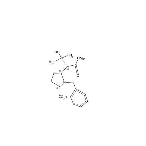 COC(=O)[C@H]([C@H]1CC[C@@H](C(=O)O)N1Cc1ccccc1)C(C)(C)O